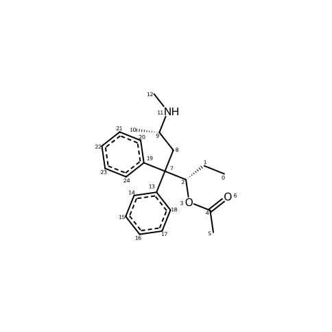 CC[C@H](OC(C)=O)C(C[C@H](C)NC)(c1ccccc1)c1ccccc1